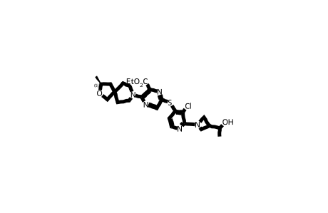 CCOC(=O)c1nc(Sc2ccnc(N3CC(C(C)O)C3)c2Cl)cnc1N1CCC2(CC1)CO[C@@H](C)C2